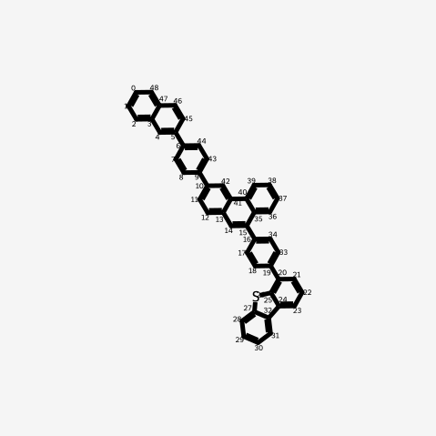 c1ccc2cc(-c3ccc(-c4ccc5cc(-c6ccc(-c7cccc8c7sc7ccccc78)cc6)c6ccccc6c5c4)cc3)ccc2c1